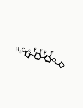 Cc1ccc(-c2ccc(-c3ccc(OCC4CCC4)c(F)c3F)c(F)c2F)s1